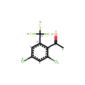 CC(=O)c1c(Cl)[c]c(Cl)cc1C(F)(F)F